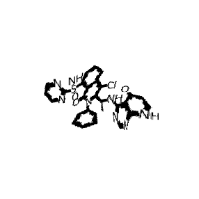 C[C@H](Nc1ncnc2[nH]ccc(=O)c12)c1c(Cl)c2cccc(S(=N)(=O)c3ncccn3)c2c(=O)n1-c1ccccc1